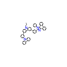 CCCn1c2ccc(-c3cccc(-c4nc5c6ccccc6c6ccccc6c5n4-c4ccccc4)c3)cc2c2cc(-c3cccc(-n4c5ccccc5c5ccccc54)c3)ccc21